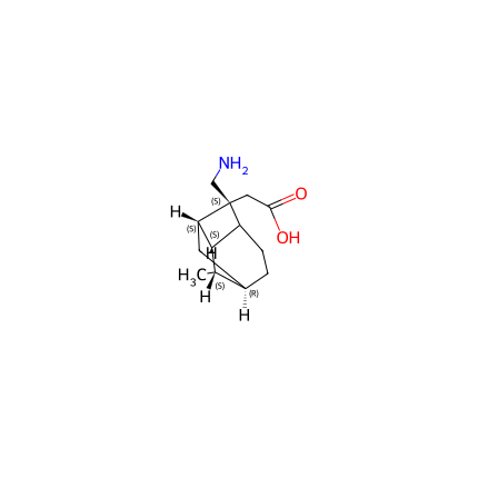 C[C@H]1[C@@H]2CCC3[C@H]1[C@H](C2)[C@]3(CN)CC(=O)O